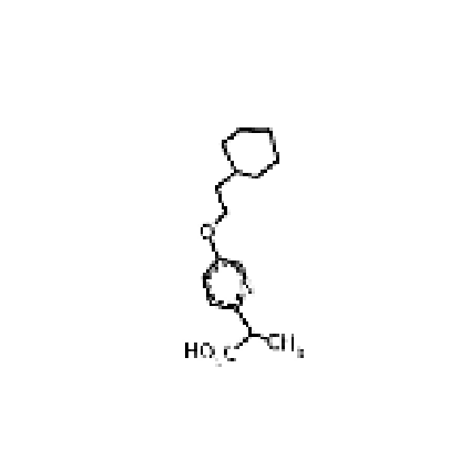 CC(C(=O)O)c1ccc(OCCC2CCCCC2)cn1